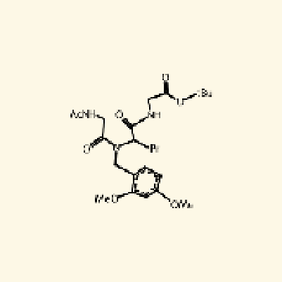 COc1ccc(CN(C(=O)CNC(C)=O)C(C(=O)NCC(=O)OC(C)(C)C)C(C)C)c(OC)c1